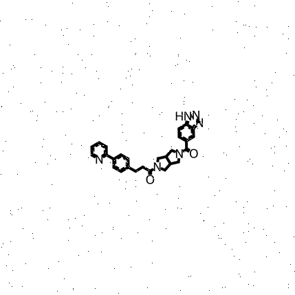 O=C(CCc1ccc(-c2ccccn2)cc1)N1CC2CN(C(=O)c3ccc4[nH]nnc4c3)CC2C1